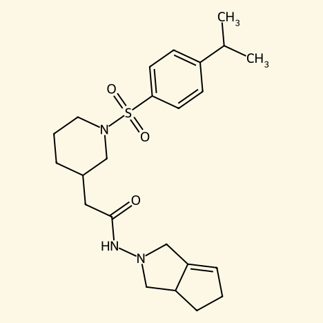 CC(C)c1ccc(S(=O)(=O)N2CCCC(CC(=O)NN3CC4=CCCC4C3)C2)cc1